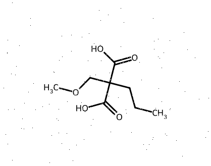 CCCC(COC)(C(=O)O)C(=O)O